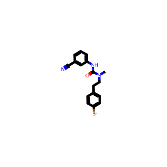 CN(CCc1ccc(Br)cc1)C(=O)Nc1cccc(C#N)c1